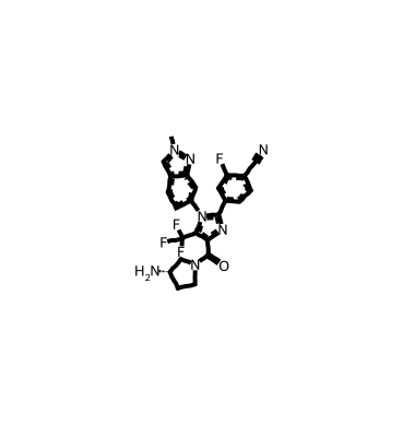 Cn1cc2ccc(-n3c(-c4ccc(C#N)c(F)c4)nc(C(=O)N4CC[C@H](N)C4)c3C(F)(F)F)cc2n1